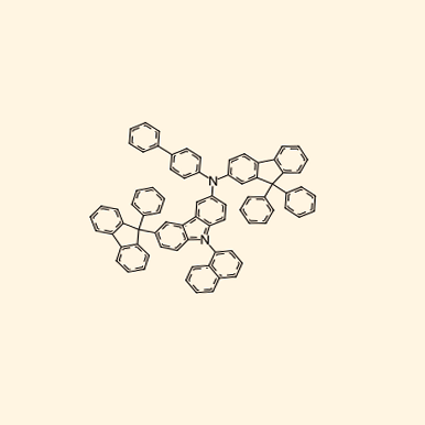 c1ccc(-c2ccc(N(c3ccc4c(c3)C(c3ccccc3)(c3ccccc3)c3ccccc3-4)c3ccc4c(c3)c3cc(C5(c6ccccc6)c6ccccc6-c6ccccc65)ccc3n4-c3cccc4ccccc34)cc2)cc1